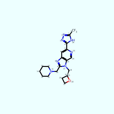 FC(F)(F)c1nnc(-c2cc3nc(CN4CCCCC4)n(C[C@@H]4CCO4)c3cn2)[nH]1